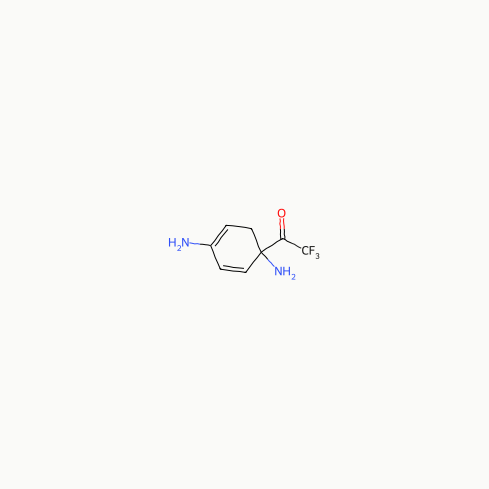 NC1=CCC(N)(C(=O)C(F)(F)F)C=C1